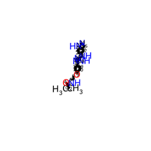 CC(C)C(=O)NCCCOc1ccc(-c2nnc(Nc3ccc4[nH]ncc4c3)[nH]2)cc1